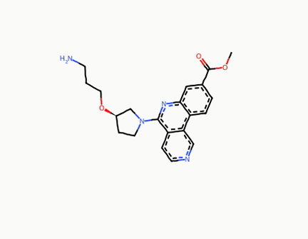 COC(=O)c1ccc2c(c1)nc(N1CC[C@@H](OCCCN)C1)c1ccncc12